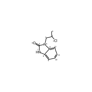 CC(Cl)Cn1c(=O)[nH]c2ccccc21